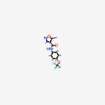 Cc1oncc1C(=O)Nc1ccc(OC(F)(F)F)cc1